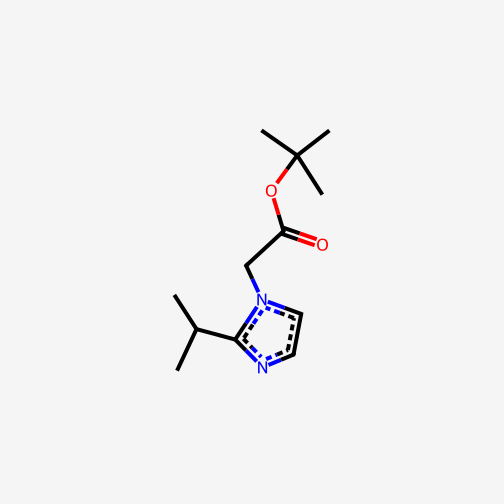 CC(C)c1nccn1CC(=O)OC(C)(C)C